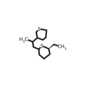 CC[C@H]1CCCC(CC(C)C2CCCSC2)S1